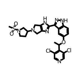 CC(Oc1ccc2[nH]nc(-c3nc4c([nH]3)CN(C3CCN(S(C)(=O)=O)C3)C4)c2c1)c1c(Cl)cncc1Cl